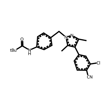 Cc1nn(Cc2ccc(NC(=O)C(C)(C)C)cc2)c(C)c1-c1ccc(C#N)c(Cl)c1